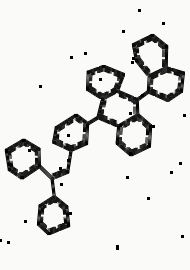 C(=C(c1ccccc1)c1ccccc1)c1cccc(-c2c3ccccc3c(-c3cccc4ccccc34)c3ccccc23)c1